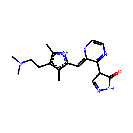 Cc1[nH]c(C=C2NC=CN=C2C2C=NNC2=O)c(C)c1CCN(C)C